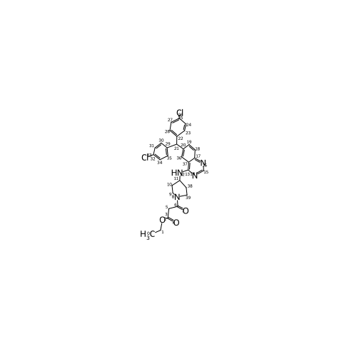 CCOC(=O)CC(=O)N1CCC(Nc2ncnc3ccc(C(c4ccc(Cl)cc4)c4ccc(Cl)cc4)cc23)CC1